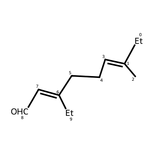 CC/C(C)=C/CC/C(=C/C=O)CC